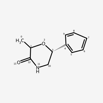 CC1O[C@H](c2ccccc2)CNC1=O